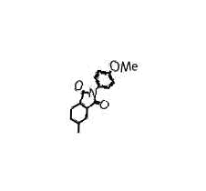 COc1ccc(N2C(=O)C3CCC(C)CC3C2=O)cc1